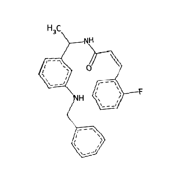 CC(NC(=O)/C=C\c1ccccc1F)c1cccc(NCc2ccccc2)c1